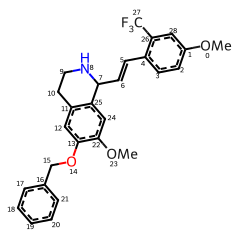 COc1ccc(/C=C/C2NCCc3cc(OCc4ccccc4)c(OC)cc32)c(C(F)(F)F)c1